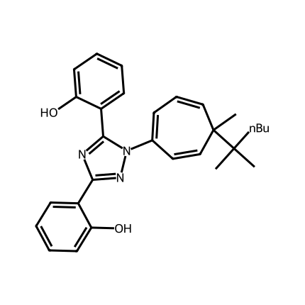 CCCCC(C)(C)C1(C)C=CC=C(n2nc(-c3ccccc3O)nc2-c2ccccc2O)C=C1